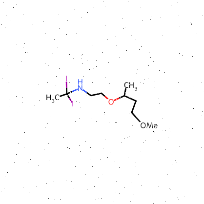 COCCC(C)OCCNC(C)(I)I